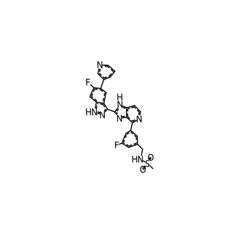 CS(=O)(=O)NCc1cc(F)cc(-c2nccc3[nH]c(-c4n[nH]c5cc(F)c(-c6cccnc6)cc45)nc23)c1